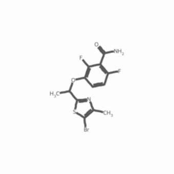 Cc1nc(C(C)Oc2ccc(F)c(C(N)=O)c2F)sc1Br